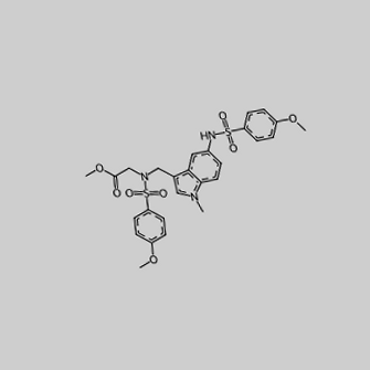 COC(=O)CN(Cc1cn(C)c2ccc(NS(=O)(=O)c3ccc(OC)cc3)cc12)S(=O)(=O)c1ccc(OC)cc1